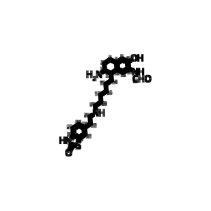 NC1CCc2cc(O)c(NC=O)cc2C1CCCCCCNCCc1ccc2[nH]c(=O)sc2c1